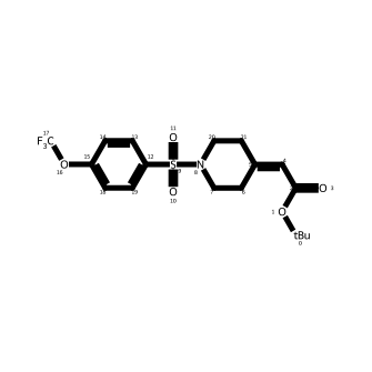 CC(C)(C)OC(=O)C=C1CCN(S(=O)(=O)c2ccc(OC(F)(F)F)cc2)CC1